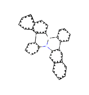 c1ccc2c(c1)B1c3ccc4ccccc4c3-c3ccccc3N1c1cc3ccccc3cc1-2